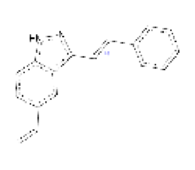 C=Cc1ccc2[nH]nc(/C=C/c3ccccc3)c2c1